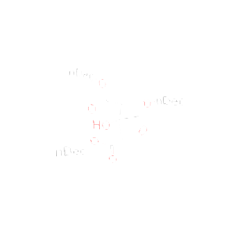 CCCCCCCCCCOC(=O)CC(O)(CC(=O)OCCCCCCCCCC)C(=O)OCCCCCCCCCC